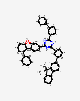 CC1(C)c2ccccc2-c2ccc(-c3cccc(-c4nc(-c5cccc(-c6ccccc6)c5)nc(-c5ccc6c(c5)oc5cccc(-c7ccccc7)c56)n4)c3)cc21